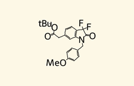 COc1ccc(CN2C(=O)C(F)(F)c3ccc(CC(=O)OC(C)(C)C)cc32)cc1